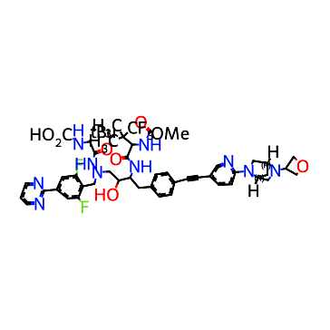 COC(=O)NC(C(=O)NC(Cc1ccc(C#Cc2ccc(N3C[C@H]4C[C@@H]3CN4C3COC3)nc2)cc1)C(O)CN(Cc1c(F)cc(-c2ncccn2)cc1F)NC(=O)C(NC(=O)O)C(C)(C)C)C(C)(C)C(F)(F)F